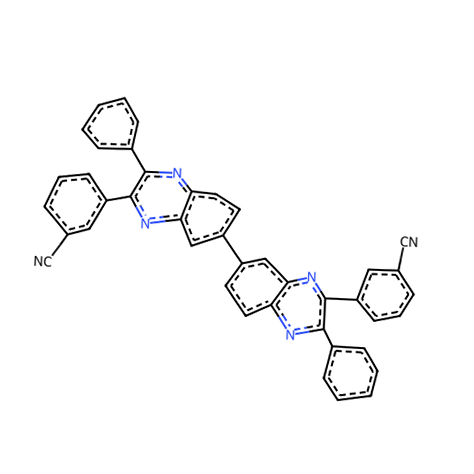 N#Cc1cccc(-c2nc3cc(-c4ccc5nc(-c6ccccc6)c(-c6cccc(C#N)c6)nc5c4)ccc3nc2-c2ccccc2)c1